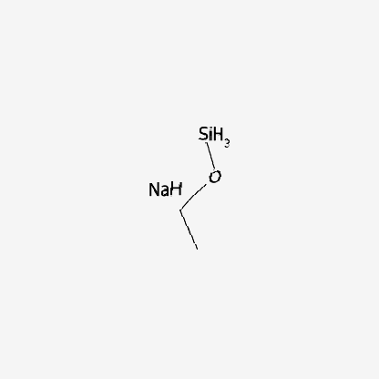 CCO[SiH3].[NaH]